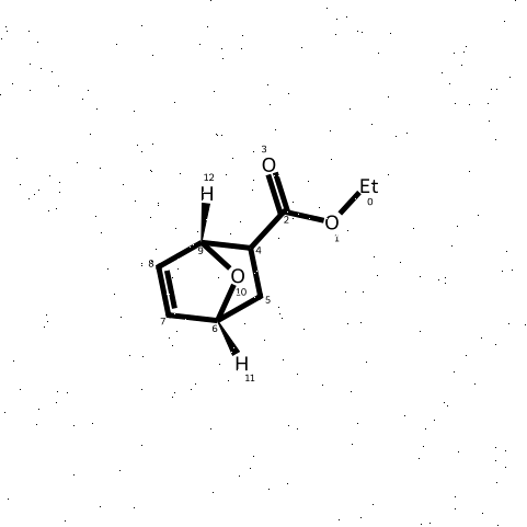 CCOC(=O)C1C[C@@H]2C=C[C@H]1O2